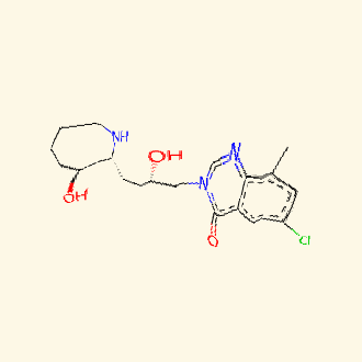 Cc1cc(Cl)cc2c(=O)n(C[C@@H](O)C[C@H]3NCCC[C@@H]3O)cnc12